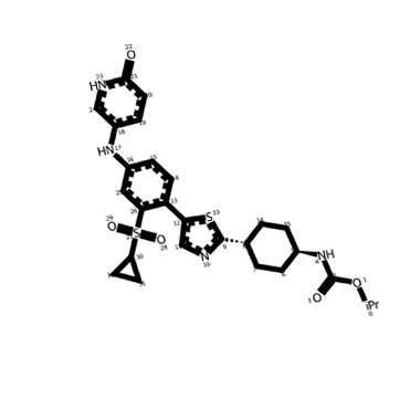 CC(C)OC(=O)N[C@H]1CC[C@H](c2ncc(-c3ccc(Nc4ccc(=O)[nH]c4)cc3S(=O)(=O)C3CC3)s2)CC1